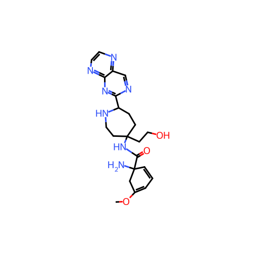 COC1=CC=CC(N)(C(=O)NC2(CCO)CCNC(c3ncc4nccnc4n3)CC2)C1